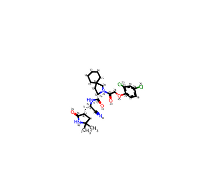 CC1(C)C[C@@H](C[C@@H](C#N)NC(=O)[C@@H]2CC3(CCCCC3)CN2C(=O)COc2ccc(Cl)cc2Cl)C(=O)N1